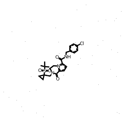 CC(C)(C)S(=O)(=O)C1(CN2CCn3c(C(=O)NCc4ccc(Cl)cc4)ccc3C2=O)CC1